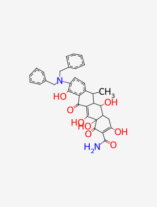 CC1c2ccc(N(Cc3ccccc3)Cc3ccccc3)c(O)c2C(=O)C2=C(O)C3(O)C(=O)C(C(N)=O)=C(O)CC3C(O)C21